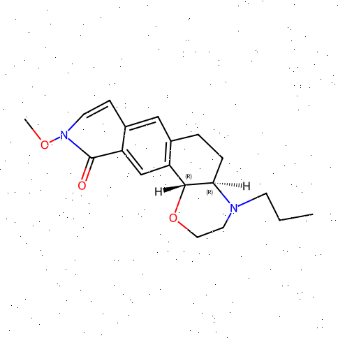 CCCN1CCO[C@@H]2c3cc4c(=O)n(OC)ccc4cc3CC[C@H]21